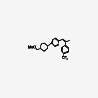 COCC1CCC(c2ccc(C=C(C)c3ccc(C(F)(F)F)cc3)cc2)CC1